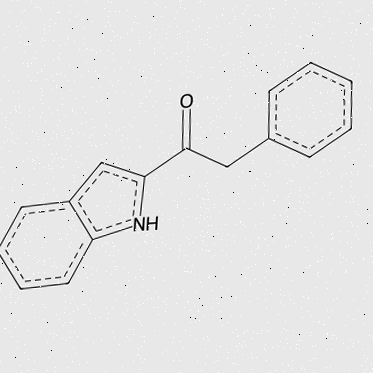 O=C(Cc1ccccc1)c1cc2ccccc2[nH]1